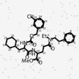 CCN(CCc1ccccc1)C(=O)CCC(NC(=O)C(CC1CCCCC1)NC(=O)OCc1cccc(Cl)c1)C(=O)OC